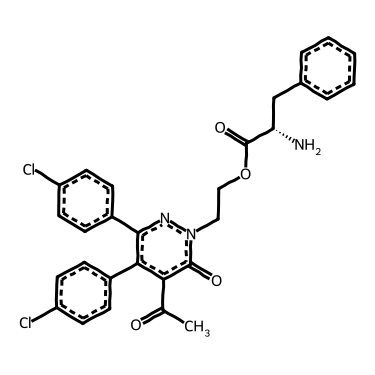 CC(=O)c1c(-c2ccc(Cl)cc2)c(-c2ccc(Cl)cc2)nn(CCOC(=O)[C@@H](N)Cc2ccccc2)c1=O